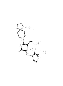 Cc1nc(N2CCC3(CCC[C@H]3N)CC2)c(CO)nc1Sc1ccnc(C#N)c1Cl